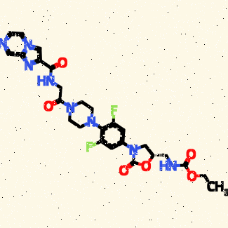 CCOC(=O)NC[C@H]1CN(c2cc(F)c(N3CCN(C(=O)CNC(=O)c4cn5ccncc5n4)CC3)c(F)c2)C(=O)O1